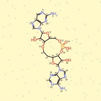 Nc1ncc2ncn(C3OC4COP(=O)(O)OC5C(CCOC4C3O)OC(n3cnc4c(N)ncnc43)C5O)c2n1